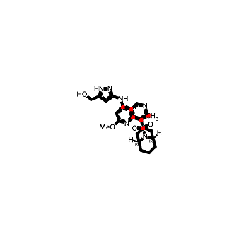 COc1cc(Nc2cc(CO)[nH]n2)nc(N(C)[C@@H]2C[C@H]3CCC[C@@H](C2)N3S(=O)(=O)c2cncc(F)c2)n1